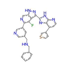 Fc1c(-c2cncc(CNCc3ccccc3)c2)ncc2[nH]nc(-c3nc4c(-c5ccsc5)ccnc4[nH]3)c12